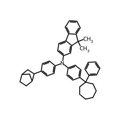 CC1(C)c2ccccc2-c2ccc(N(c3ccc(C4CC5CCC4C5)cc3)c3ccc(C4(c5ccccc5)CCCCCC4)cc3)cc21